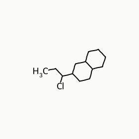 CCC(Cl)C1CCC2CCCCC2C1